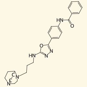 O=C(Nc1ccc(-c2nnc(NCCCN3CCN4CCC3CC4)o2)cc1)c1ccccc1